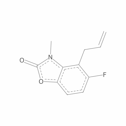 C=CCc1c(F)ccc2oc(=O)n(C)c12